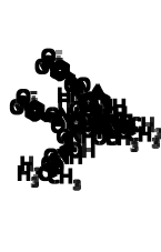 CN(C(=O)OC(C)(C)C)[C@@H]1[C@@H](O)[C@@H](O[C@@H]2[C@@H](O)[C@H](O[C@H]3OC(CNCC4CC4)=CC[C@H]3NC(=O)OCc3ccc([N+](=O)[O-])cc3)[C@@H](NC(=O)OCc3ccc([N+](=O)[O-])cc3)C[C@H]2NC(=O)[C@@H](O)CNC(=O)OC(C)(C)C)OC[C@]1(C)O